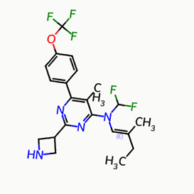 CC/C(C)=C/N(c1nc(C2CNC2)nc(-c2ccc(OC(F)(F)F)cc2)c1C)C(F)F